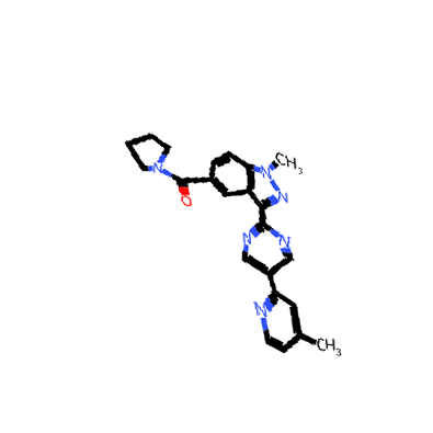 Cc1ccnc(-c2cnc(-c3nn(C)c4ccc(C(=O)N5CCCC5)cc34)nc2)c1